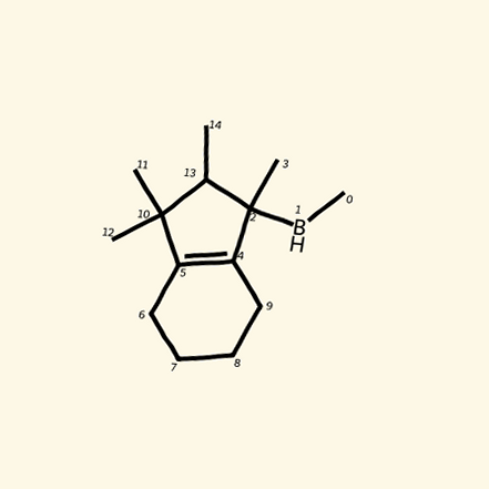 CBC1(C)C2=C(CCCC2)C(C)(C)C1C